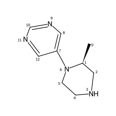 C[C@H]1CNCCN1c1cncnc1